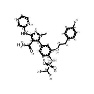 Cn1nc(Nc2cnccn2)c(C(N)=O)c1-c1ccc(NS(=O)(=O)C(F)F)c(OCCc2ccc(F)cc2)c1